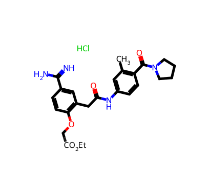 CCOC(=O)COc1ccc(C(=N)N)cc1CC(=O)Nc1ccc(C(=O)N2CCCC2)c(C)c1.Cl